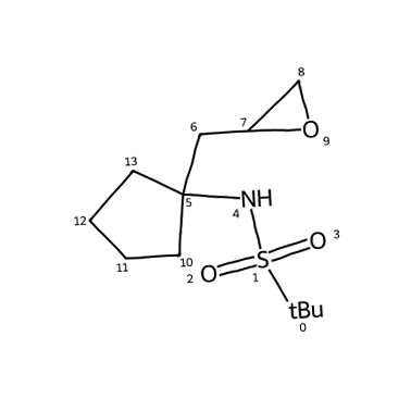 CC(C)(C)S(=O)(=O)NC1(CC2CO2)CCCC1